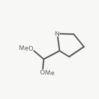 COC(OC)C1CCC[N]1